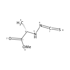 COC(=O)[C@H](C)NN=C=S